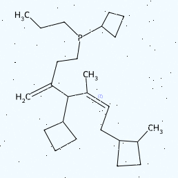 C=C(CCP(CCC)C1CCC1)C(/C(C)=C\CC1CCC1C)C1CCC1